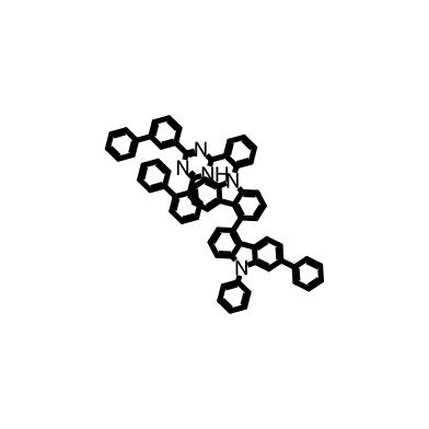 c1ccc(-c2cccc(C3=NC(c4ccccc4-n4c5ccccc5c5c(-c6cccc7c6c6ccc(-c8ccccc8)cc6n7-c6ccccc6)cccc54)NC(c4ccccc4-c4ccccc4)=N3)c2)cc1